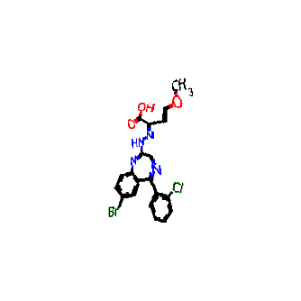 COCCC(=NNC1=Nc2ccc(Br)cc2C(c2ccccc2Cl)=NC1)C(=O)O